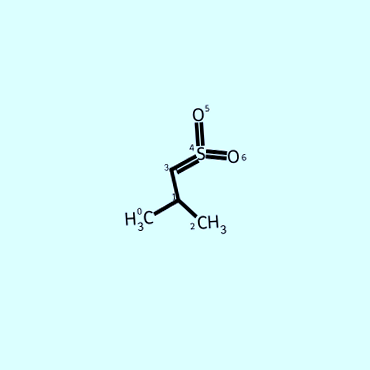 CC(C)[C]=S(=O)=O